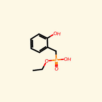 CCOP(=O)(O)Cc1ccccc1O